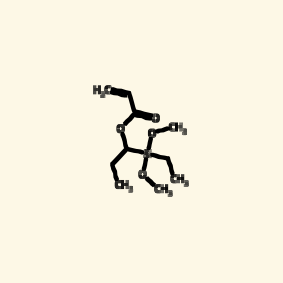 C=CC(=O)OC(CC)[Si](CC)(OC)OC